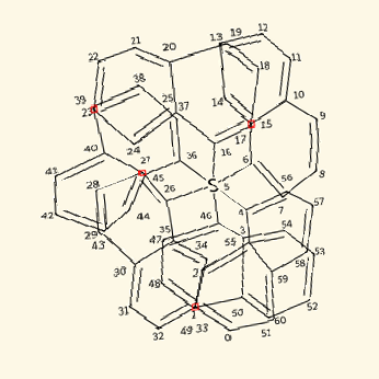 c1ccc2c(S(c3cccc4ccccc34)(c3cccc4ccccc34)(c3cccc4ccccc34)(c3cccc4ccccc34)c3cccc4ccccc34)cccc2c1